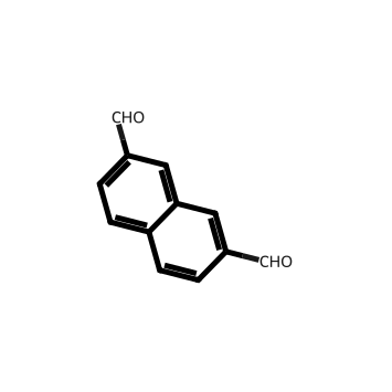 O=Cc1ccc2ccc(C=O)cc2c1